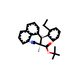 CC(C)c1ccccc1[C@H](c1cccc2ccccc12)[C@](C)(C#N)C(=O)OC(C)(C)C